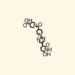 O=C(O)C1CCN(C(=O)C2CCN(c3ncc(C4CCC(O)NC4=O)cn3)CC2)CC1